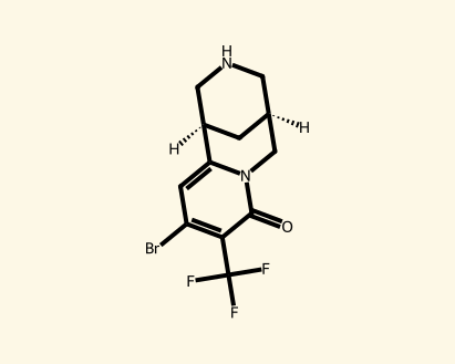 O=c1c(C(F)(F)F)c(Br)cc2n1C[C@@H]1CNC[C@H]2C1